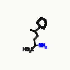 CC(CCC(N)C(=O)O)c1ccccc1